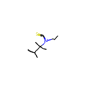 CCN(C=S)C(C)(C)C(C)C